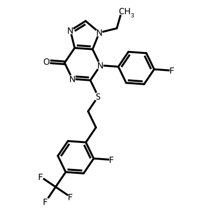 CCn1cnc2c(=O)nc(SCCc3ccc(C(F)(F)F)cc3F)n(-c3ccc(F)cc3)c21